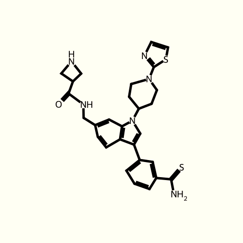 NC(=S)c1cccc(-c2cn(C3CCN(c4nccs4)CC3)c3cc(CNC(=O)C4CNC4)ccc23)c1